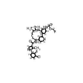 Cc1c(C(=O)N[C@H]2CCC[C@@H](C)C(=O)Nc3cc(NC(=O)OCF)ccc3-c3cc2ccn3)cnn1-c1cccc(Cl)c1F